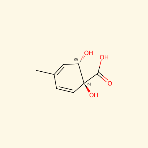 CC1=C[C@H](O)[C@](O)(C(=O)O)C=C1